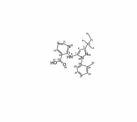 CCC(C)(C)c1cc(Nc2ncccc2C(=O)O)n(-c2ccccc2C)n1